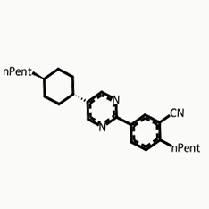 CCCCCc1ccc(-c2ncc([C@H]3CC[C@H](CCCCC)CC3)cn2)cc1C#N